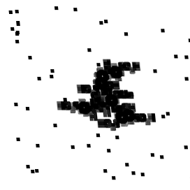 COc1cc(N=Nc2cc(S(=O)(=O)O)cc3cc(S(=O)(=O)O)cc(O)c23)c(Nc2nc(O)nc(Nc3ccc(S(=O)(=O)O)cc3)n2)cc1N=Nc1c(S(=O)(=O)O)cc2ccc(Nc3cccc(S(=O)(=O)O)c3)cc2c1O